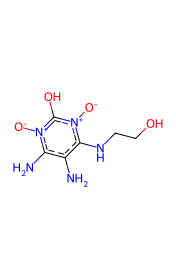 Nc1c(N)[n+]([O-])c(O)[n+]([O-])c1NCCO